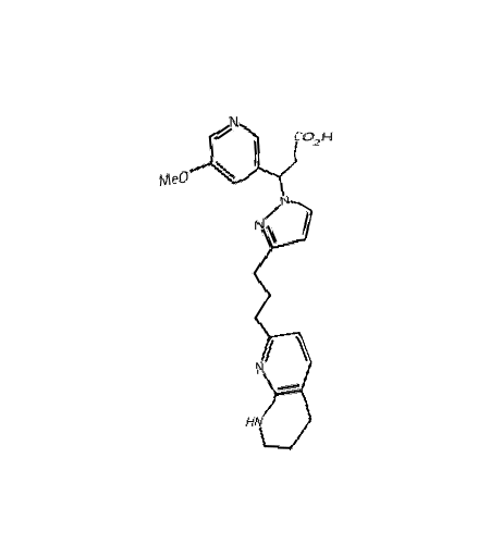 COc1cncc(C(CC(=O)O)n2ccc(CCCc3ccc4c(n3)NCCC4)n2)c1